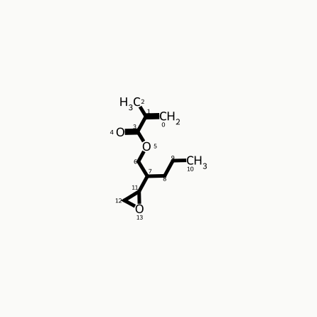 C=C(C)C(=O)OCC(CCC)C1CO1